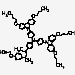 C#CCOc1ccc(C(C)CC(CC)c2ccc(N(c3ccc(-n4c5ccc(OCCCC)cc5c5cc(OCCCC)ccc54)cc3)c3ccc(-n4c5ccc(OCCCC)cc5c5cc(OCCCC)ccc54)cc3)cc2)cc1